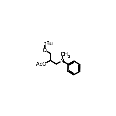 CCCCOCC(CN(C)c1ccccc1)OC(C)=O